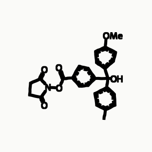 COc1ccc(C(O)(c2ccc(C)cc2)c2ccc(C(=O)ON3C(=O)CCC3=O)cc2)cc1